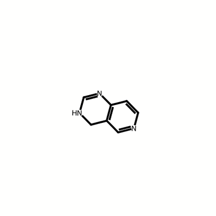 C1=Nc2ccncc2CN1